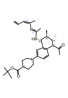 C=C/C=C(C)\N=C(/C)N[C@H]1c2cc(N3CCN(C(=O)OC(C)(C)C)CC3)ccc2N(C(C)=O)[C@@H](C)[C@@H]1C